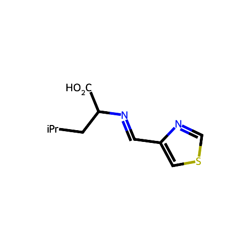 CC(C)CC(N=Cc1cscn1)C(=O)O